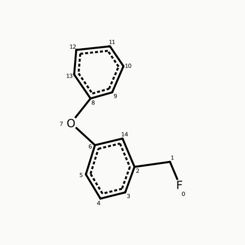 FCc1cccc(Oc2ccccc2)c1